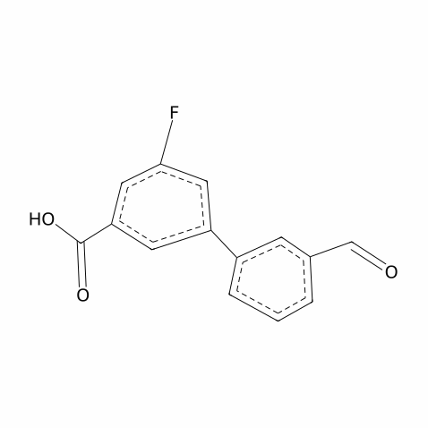 O=Cc1cccc(-c2cc(F)cc(C(=O)O)c2)c1